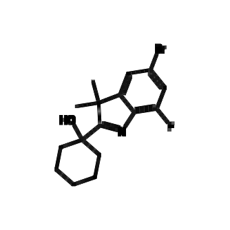 CC1(C)C(C2(O)CCCCC2)=Nc2c(F)cc(Br)cc21